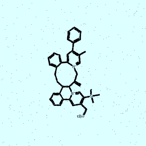 C=C1C[n+]2cc(C)c(-c3ccccc3)cc2-c2ccccc2CCC2c3ccccc3-c3cc(CC(C)(C)C)c([Si](C)(C)C)c[n+]3C12